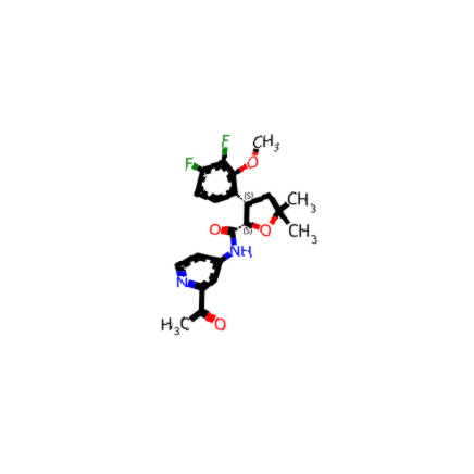 COc1c([C@@H]2CC(C)(C)O[C@@H]2C(=O)Nc2ccnc(C(C)=O)c2)ccc(F)c1F